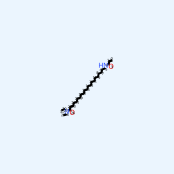 C=CC(=O)NCCCCCCCCCCCCCCCCCC/C=C/C(=O)N(CC)CC